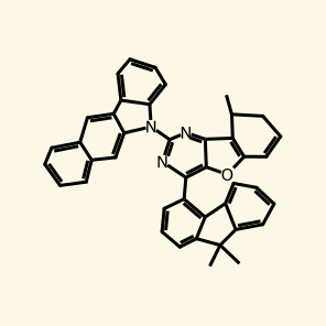 CC1CC=Cc2oc3c(-c4cccc5c4-c4ccccc4C5(C)C)nc(-n4c5ccccc5c5cc6ccccc6cc54)nc3c21